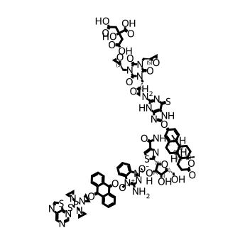 C[C@]12C=CC(=O)C=C1CC[C@@H]1[C@@H]2CC[C@]2(C)OC(=O)CC[C@@H]12.NC(=O)c1csc([C@@H]2O[C@H](CO)[C@@H](O)[C@H]2O)n1.Nc1n[n+]([O-])c2ccccc2[n+]1[O-].Nc1nc(=S)c2[nH]cnc2[nH]1.O=C(O)CC(O)(CC(=O)O)C(=O)O.O=C1c2ccccc2C(=O)c2ccccc21.O=c1n(C[C@H]2CO2)c(=O)n(C[C@@H]2CO2)c(=O)n1C[C@H]1CO1.S=P(N1CC1)(N1CC1)N1CC1.c1ncc2ncsc2n1